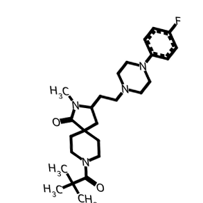 CN1C(=O)C2(CCN(C(=O)C(C)(C)C)CC2)CC1CCN1CCN(c2ccc(F)cc2)CC1